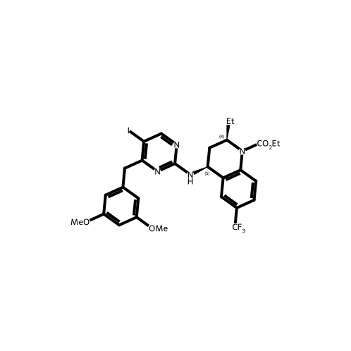 CCOC(=O)N1c2ccc(C(F)(F)F)cc2[C@@H](Nc2ncc(I)c(Cc3cc(OC)cc(OC)c3)n2)C[C@H]1CC